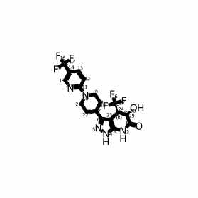 O=C1Nc2[nH]nc(C3CCN(c4ccc(C(F)(F)F)cn4)CC3)c2[C@@H](C(F)(F)F)[C@H]1O